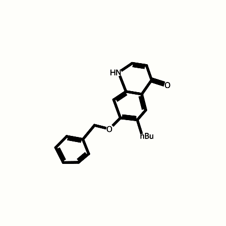 CCCCc1cc2c(=O)cc[nH]c2cc1OCc1ccccc1